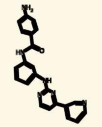 Nc1ccc(C(=O)Nc2cccc(Nc3nccc(-c4cccnc4)n3)c2)cc1